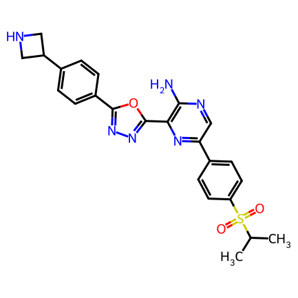 CC(C)S(=O)(=O)c1ccc(-c2cnc(N)c(-c3nnc(-c4ccc(C5CNC5)cc4)o3)n2)cc1